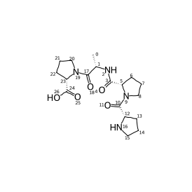 C[C@H](NC(=O)[C@@H]1CCCN1C(=O)[C@@H]1CCCN1)C(=O)N1CCC[C@H]1C(=O)O